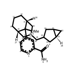 COC1(c2ccnc(C(N)=O)c2)[C@@H]2CCC[C@H]1CN(CC1CC3C[C@H]3C1)C2